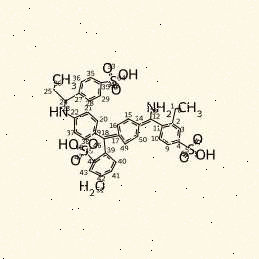 CCc1cc(S(=O)(=O)O)ccc1C(N)=c1ccc(=C(c2ccc(NC(CC)c3ccc(S(=O)(=O)O)cc3)cc2)c2ccccc2S(=O)(=O)O)cc1.O